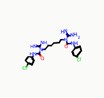 N=C(N)N(CCCCCCN(C(=N)N)C(=O)Nc1ccc(Cl)cc1)C(=O)Nc1ccc(Cl)cc1